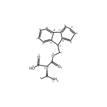 CC(N)[C@@H](C(=O)O)C(=O)OCC1c2ccccc2-c2ccccc21